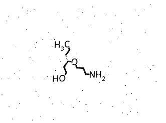 CCC[C@@H](CCO)OCCCN